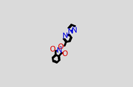 O=C1c2ccccc2C(=O)N1OCc1ccc(-n2cccn2)nc1